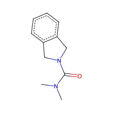 CN(C)C(=O)N1Cc2ccccc2C1